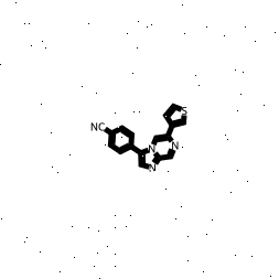 N#Cc1ccc(-c2cnc3cnc(-c4ccsc4)cn23)cc1